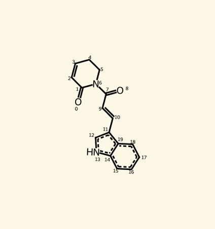 O=C1C=CCCN1C(=O)/C=C/c1c[nH]c2ccccc12